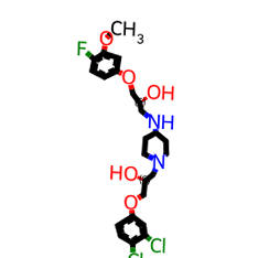 COc1cc(OC[C@@H](O)CNC2CCN(C[C@H](O)COc3ccc(Cl)c(Cl)c3)CC2)ccc1F